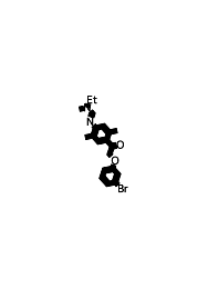 CCN(C)C=Nc1cc(C)c(C(=O)COc2cccc(Br)c2)cc1C